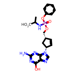 CC(NP(=O)(OC[C@@H]1C=C[C@H](n2cnc3c(O)nc(N)nc32)C1)Oc1ccccc1)C(=O)O